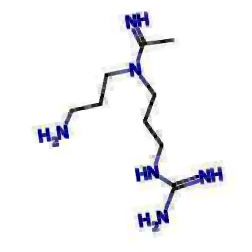 CC(=N)N(CCCN)CCCNC(=N)N